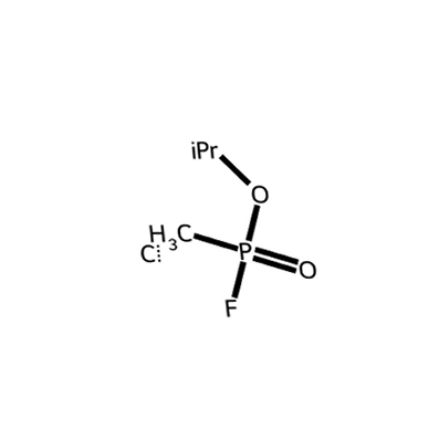 CC(C)OP(C)(=O)F.[C]